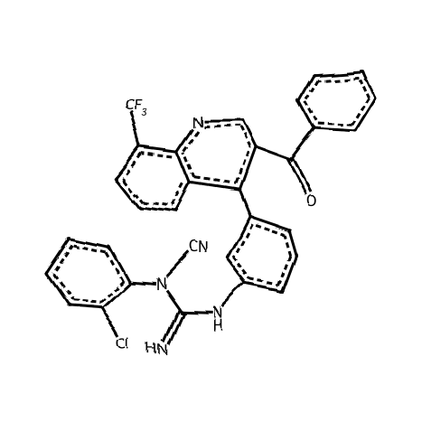 N#CN(C(=N)Nc1cccc(-c2c(C(=O)c3ccccc3)cnc3c(C(F)(F)F)cccc23)c1)c1ccccc1Cl